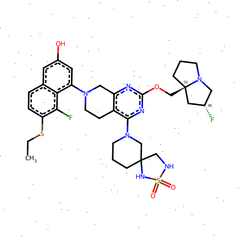 CCSc1ccc2cc(O)cc(N3CCc4c(nc(OC[C@@]56CCCN5C[C@H](F)C6)nc4N4CCCC5(CNS(=O)(=O)N5)C4)C3)c2c1F